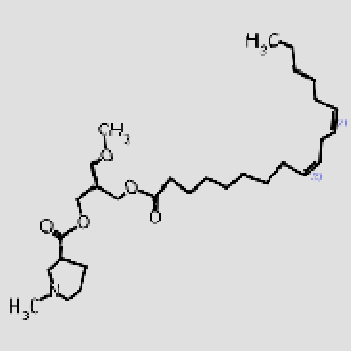 CCCCC/C=C\C/C=C\CCCCCCCC(=O)OCC(COC)COC(=O)C1CCCN(C)C1